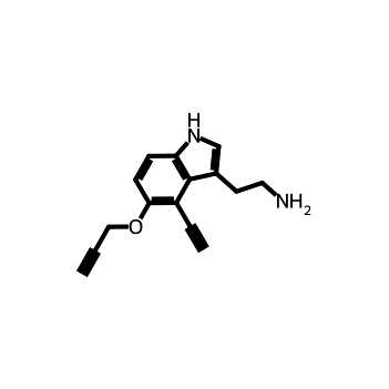 C#CCOc1ccc2[nH]cc(CCN)c2c1C#C